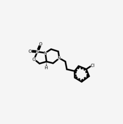 O=S1(=O)OC[C@@H]2CN(CCc3cccc(Cl)c3)CCN21